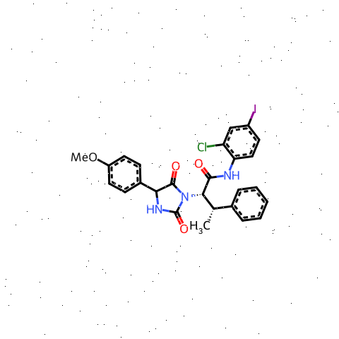 COc1ccc(C2NC(=O)N([C@H](C(=O)Nc3ccc(I)cc3Cl)[C@@H](C)c3ccccc3)C2=O)cc1